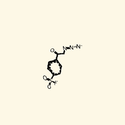 [N-]=[N+]=NCC(=O)c1ccc(S(=O)(=O)F)cc1